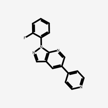 Fc1ccccc1-n1ncc2cc(-c3ccncc3)cnc21